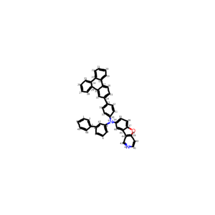 c1ccc(-c2cccc(N(c3ccc(-c4ccc5c6ccccc6c6ccccc6c5c4)cc3)c3ccc4oc5ccncc5c4c3)c2)cc1